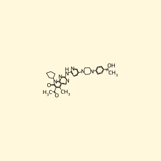 CC(=O)c1c(C)c2cnc(Nc3ccc(N4CCN(c5ccc([C@@H](C)O)cc5)CC4)cn3)nc2n(C2CCCC2)c1=O